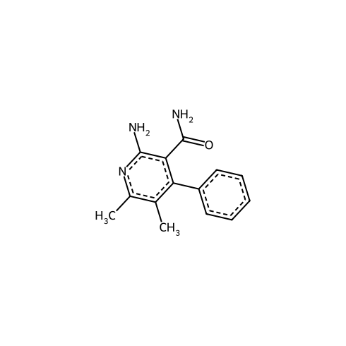 Cc1nc(N)c(C(N)=O)c(-c2ccccc2)c1C